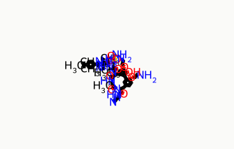 Cc1nc(-c2ccc(C(C)(C)C)cc2)nc(C)c1C(=O)N[C@@H](CNS(N)(=O)=O)C(=O)N(C)[C@@H]1C(=O)N[C@@H](C)C(=O)N[C@H](C(=O)NCC#N)Cc2ccc(OCCN)c(c2)-c2cc1cc(OCCN)c2O